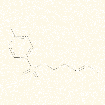 CCCC=CCCOS(=O)(=O)c1ccc(C)cc1